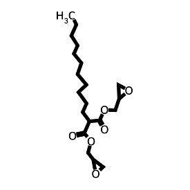 CCCCCCCCCCCC(C(=O)OCC1CO1)C(=O)OCC1CO1